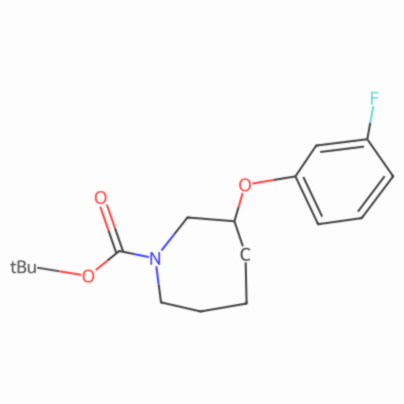 CC(C)(C)OC(=O)N1CCCCC(Oc2cccc(F)c2)C1